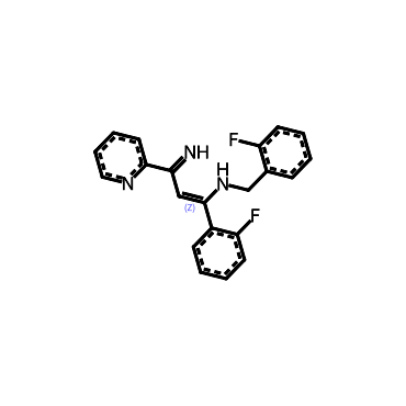 N=C(/C=C(\NCc1ccccc1F)c1ccccc1F)c1ccccn1